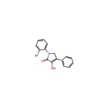 CCc1ccccc1N1CC(c2ccccc2)=C(O)C1=O